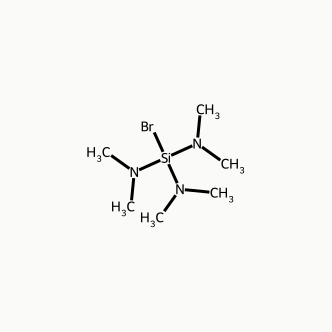 CN(C)[Si](Br)(N(C)C)N(C)C